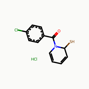 Cl.O=C(c1ccc(Cl)cc1)N1C=CC=CC1S